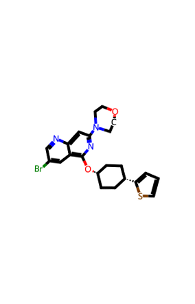 Brc1cnc2cc(N3CCOCC3)nc(O[C@H]3CC[C@@H](c4cccs4)CC3)c2c1